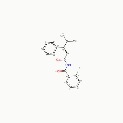 [C-]#[N+]C(C#N)[C@@H](CC(=O)NC(=O)c1ccccc1F)c1ccccc1